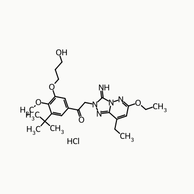 CCOc1cc(CC)c2nn(CC(=O)c3cc(OCCCO)c(OC)c(C(C)(C)C)c3)c(=N)n2n1.Cl